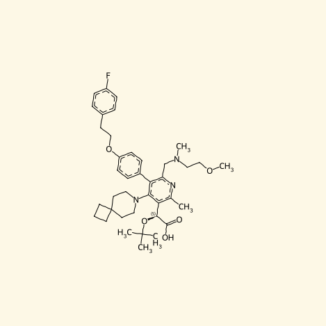 COCCN(C)Cc1nc(C)c([C@H](OC(C)(C)C)C(=O)O)c(N2CCC3(CCC3)CC2)c1-c1ccc(OCCc2ccc(F)cc2)cc1